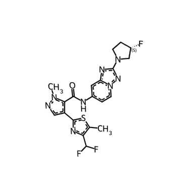 Cc1sc(-c2cnn(C)c2C(=O)Nc2ccn3nc(N4CC[C@H](F)C4)nc3c2)nc1C(F)F